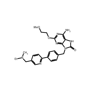 CCN(C)Cc1ccc(-c2ccc(Cn3c(=O)[nH]c4c(N)nc(OCCOC)nc43)cc2)nc1